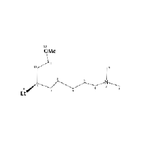 CC[C@H](CCCCCN(C)C)CCOC